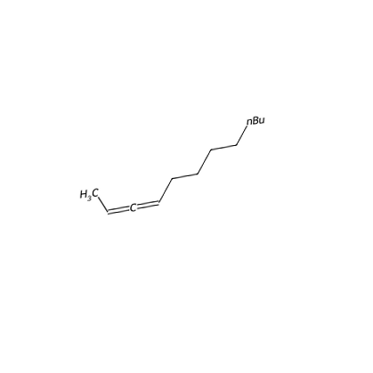 CC=C=CCCCCCCCC